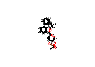 CC(C)(C)[Si](OCC1CCC(OS(C)(=O)=O)CO1)(c1ccccc1)c1ccccc1